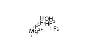 F.F.O.[F-].[F-].[Mg+2]